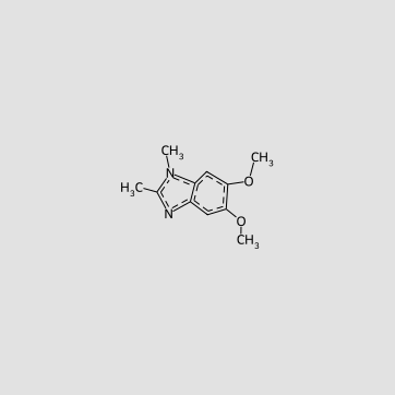 COc1cc2nc(C)n(C)c2cc1OC